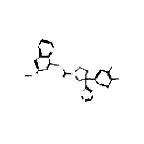 COc1cc(NC(=O)N2CCC(c3ccc(C)c(F)c3)(c3ncns3)C2)c2ncccc2c1